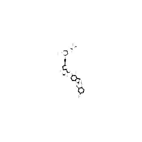 CN(C)C(=O)O[C@H]1CN[C@H](C#Cc2cc3ncnc(Nc4ccc5c(cnn5Cc5cc(F)ccc5F)c4)c3s2)C1